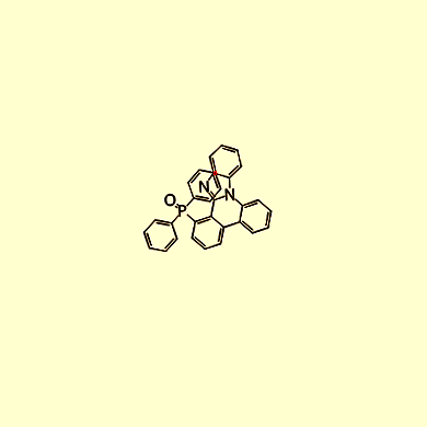 O=P(c1ccccc1)(c1ccccc1)c1cccc2c3ccccc3n3c4ccccc4nc3c12